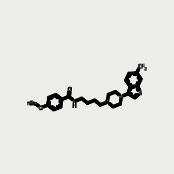 CCCCOc1ccc(C(=O)NCCCCN2CCN(c3csc4cc(C(F)(F)F)ccc34)CC2)cc1